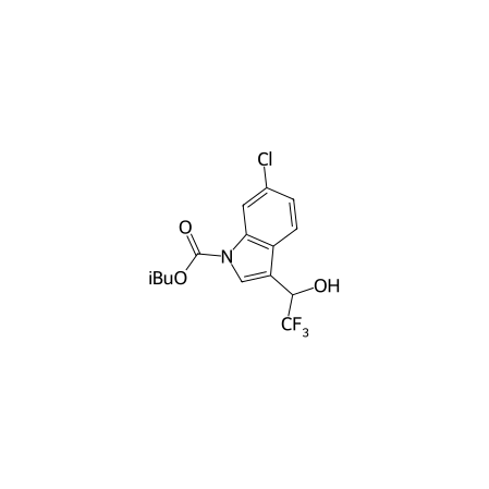 CC(C)COC(=O)n1cc(C(O)C(F)(F)F)c2ccc(Cl)cc21